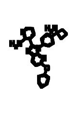 Nc1ncccc1-c1nc2ccc(Oc3ccccc3)nc2n1-c1ccc(C2(N)CCC2)cc1